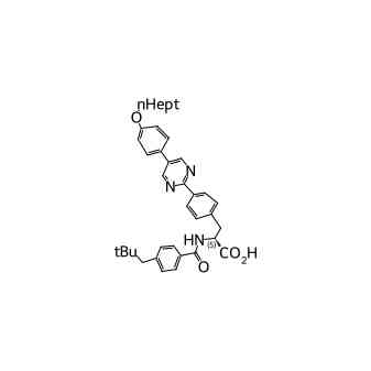 CCCCCCCOc1ccc(-c2cnc(-c3ccc(C[C@H](NC(=O)c4ccc(CC(C)(C)C)cc4)C(=O)O)cc3)nc2)cc1